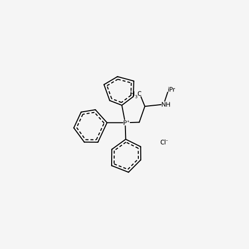 CC(C)NC(C)C[P+](c1ccccc1)(c1ccccc1)c1ccccc1.[Cl-]